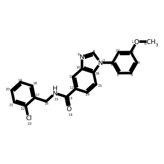 COc1cccc(-n2cnc3cc(C(=O)NCc4ccccc4Cl)ccc32)c1